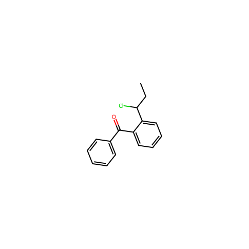 CCC(Cl)c1ccccc1C(=O)c1ccccc1